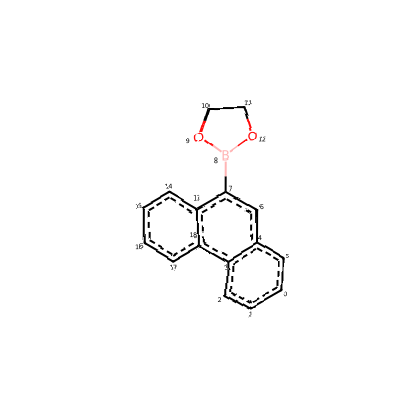 c1ccc2c(c1)cc(B1OCCO1)c1ccccc12